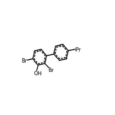 CC(C)c1ccc(-c2ccc(Br)c(O)c2Br)cc1